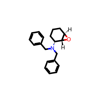 c1ccc(CN(Cc2ccccc2)[C@@H]2CCC[C@H]3O[C@H]23)cc1